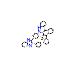 c1ccc(-c2nc3ccccc3nc2-c2ccc(Nc3c(-c4ccccc4)c4ccccc4c4c3sc3ccccc34)cc2)cc1